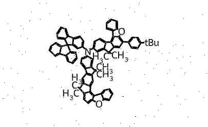 CC(C)(C)c1ccc(-c2cc3c(c4c2oc2ccccc24)-c2ccc(N(c4ccc5c(c4)C(C)(C)c4cc6c(cc4-5)C(C)(C)c4ccc5oc7ccccc7c5c4-6)c4ccc5c(c4)C4(c6ccccc6-c6ccccc64)c4ccccc4-5)cc2C3(C)C)cc1